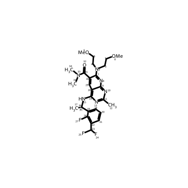 COCCN(CCOC)c1nc2nc(C)nc(N[C@H](C)c3cccc(C(F)F)c3F)c2cc1C(=O)N(C)C